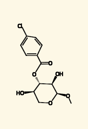 CO[C@H]1OC[C@@H](O)[C@H](OC(=O)c2ccc(Cl)cc2)[C@H]1O